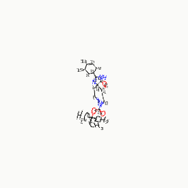 CC(C)(C)OC(=O)N1CCC2(CC1)N=C(C1CCCCC1)NC2=O